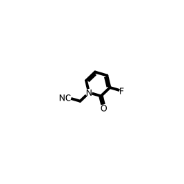 N#CCn1cccc(F)c1=O